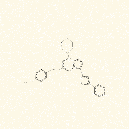 COc1ccc(COc2cc(C3CCN(C(=O)O)CC3)n3ncc(-c4cc(-c5ccccc5)no4)c3n2)cc1